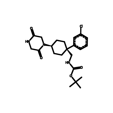 CC(C)(C)OC(=O)NC[C@]1(c2cccc(Cl)c2)CC[C@H](N2CC(=O)NCC2=O)CC1